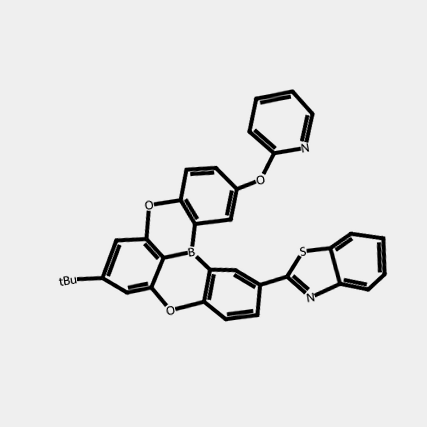 CC(C)(C)c1cc2c3c(c1)Oc1ccc(-c4nc5ccccc5s4)cc1B3c1cc(Oc3ccccn3)ccc1O2